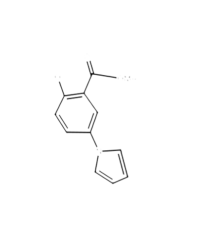 COC(=O)c1cc(-n2cccc2)ccc1O